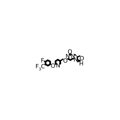 O=c1nc(OCc2ccc(Oc3ccc(F)c(C(F)(F)F)c3)nc2)cc2n1C[C@]13CO[C@H](CN21)C3